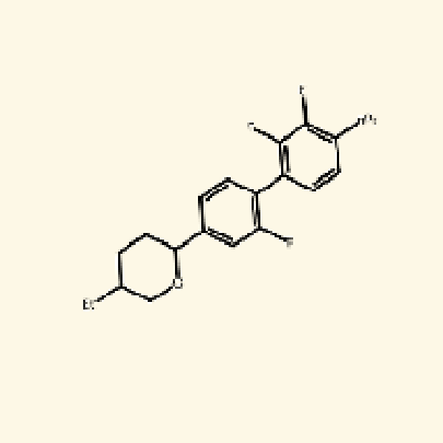 CCCc1ccc(-c2ccc(C3CCC(CC)CO3)cc2F)c(F)c1F